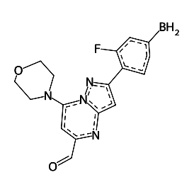 Bc1ccc(-c2cc3nc(C=O)cc(N4CCOCC4)n3n2)c(F)c1